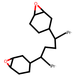 C[C](C)C(CCC([C](C)C)C1CCC2OC2C1)C1CCC2OC2C1